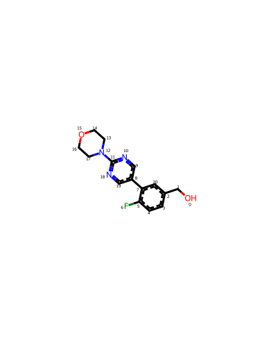 OCc1ccc(F)c(-c2cnc(N3CCOCC3)nc2)c1